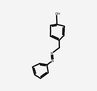 Oc1ccc(CN=Nc2ccccc2)cc1